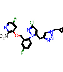 O=[N+]([O-])c1ncc(Br)cc1OCc1cc(F)ccc1-n1nc(Cl)cc1Cc1cn(CC2CC2)nn1